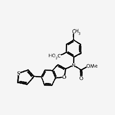 COC(=O)N(c1cc2cc(-c3ccsc3)ccc2o1)c1ccc(C)cc1C(=O)O